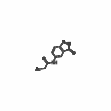 CC(=O)CC(=O)Nc1ccc2c(c1)C(=O)N=N2